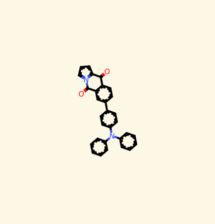 O=C1c2ccc(-c3ccc(N(c4ccccc4)c4ccccc4)cc3)cc2C(=O)n2cccc21